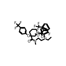 CCN(CCN(C)C(=O)C1(Oc2ccc(C(F)(F)F)cc2)CCCN(C(=O)c2c(F)cccc2C(F)(F)F)C1)c1ccccc1OC